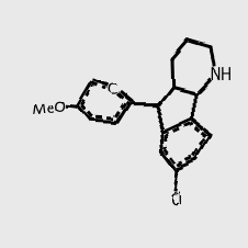 COc1ccc(C2c3cc(Cl)ccc3C3NCCCC32)cc1